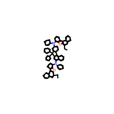 CCc1cc2ccccc2c2c1oc1c(N(c3ccccc3)c3ccc4c(c3)C(c3ccccc3)(c3ccccc3)c3cc(N(c5ccccc5)c5cccc6c5oc5c(CC)cc7ccccc7c56)c5ccccc5c3-4)cccc12